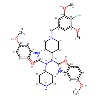 CCOc1cc(CN2CCC(N(c3nc4cc(OC(F)(F)F)ccc4o3)N(c3nc4cc(OC(F)(F)F)ccc4o3)C3CCNCC3)CC2)cc(OCC)c1F